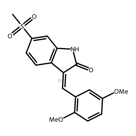 COc1ccc(OC)c(/C=C2\C(=O)Nc3cc(S(C)(=O)=O)ccc32)c1